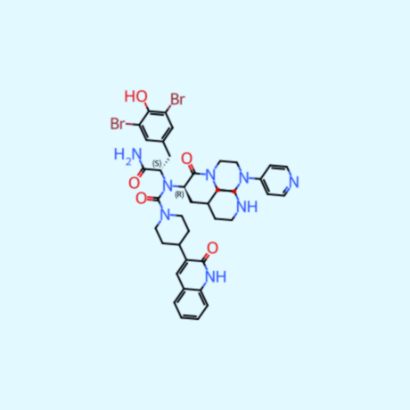 NC(=O)[C@H](Cc1cc(Br)c(O)c(Br)c1)N(C(=O)N1CCC(c2cc3ccccc3[nH]c2=O)CC1)[C@H](CC1CCNCC1)C(=O)N1CCN(c2ccncc2)CC1